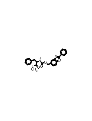 COC(=O)C(Cc1ccccc1)NC(=O)OCc1ccc2oc(-c3ccccc3)nc2c1